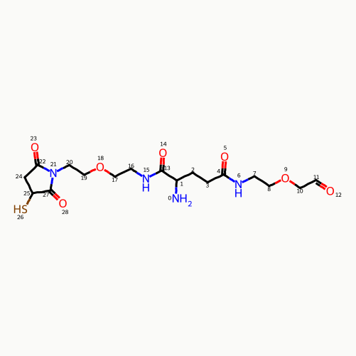 NC(CCC(=O)NCCOCC=O)C(=O)NCCOCCN1C(=O)CC(S)C1=O